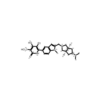 CCc1c(-c2ccc3c(c2)cc(CN2C[C@H]4C[C@@H](N(C)C)C[C@H]4C2)n3C)[nH]c(=O)c(C(=O)O)c1O